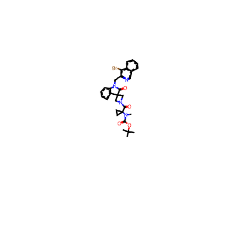 CN(C(=O)OC(C)(C)C)C1(C(=O)N2CC3(C2)C(=O)N(Cc2ncc4ccccc4c2Br)c2ccccc23)CC1